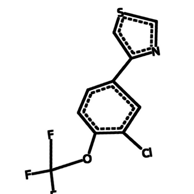 FC(F)(F)Oc1ccc(-c2cscn2)cc1Cl